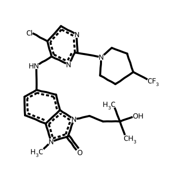 Cn1c(=O)n(CCC(C)(C)O)c2cc(Nc3nc(N4CCC(C(F)(F)F)CC4)ncc3Cl)ccc21